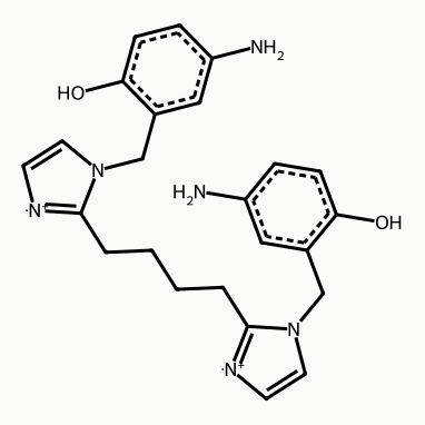 Nc1ccc(O)c(CN2C=C[N+]=C2CCCCC2=[N+]C=CN2Cc2cc(N)ccc2O)c1